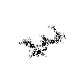 COCCOCCC(=O)N[C@@H](C(=O)N[C@H](C)C(=O)Nc1ccc(COC(=O)N2c3cc(OCCCCCOc4cc5c(cc4OC)C(=O)N4C=C(C)CC4[C@H](C)N5C(=O)OCc4ccc(NC(=O)[C@@H](C)NC(=O)[C@H](N)C(C)C)cc4)c(OC)cc3C(=O)N3C=C(C)C[C@H]3[C@@H]2O)cc1)C(C)C